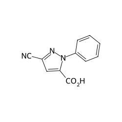 N#Cc1cc(C(=O)O)n(-c2ccccc2)n1